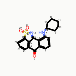 O=C1c2cccc(NC3CCCCC3)c2C2=NS(=O)(=O)c3cccc1c32